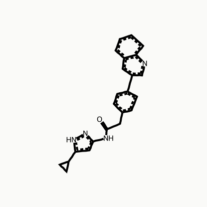 O=C(Cc1ccc(-c2cnc3ccccc3c2)cc1)Nc1cc(C2CC2)[nH]n1